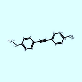 COc1ccc(C#Cc2ccc(C)nn2)cc1